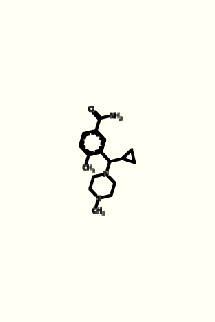 Cc1ccc(C(N)=O)cc1C(C1CC1)N1CCN(C)CC1